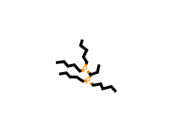 CCCCCP(CCCCC)C(CC)P(CCCCC)CCCCC